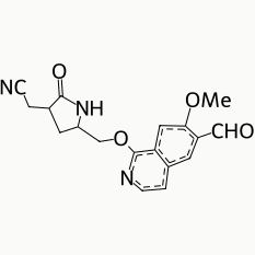 COc1cc2c(OCC3CC(CC#N)C(=O)N3)nccc2cc1C=O